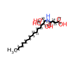 CCCCCCCCCCCCCC[C@@H](O)[C@@H](O)[C@H](CO)NC(=O)/C=C/C(=O)O